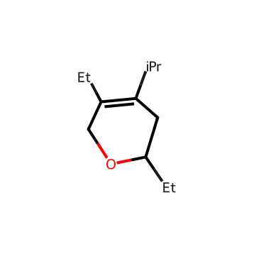 CCC1=C(C(C)C)CC(CC)OC1